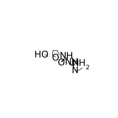 C/C=N\C(N)=C\NC(=O)N[C@H]1CC[C@@H](CO)O1